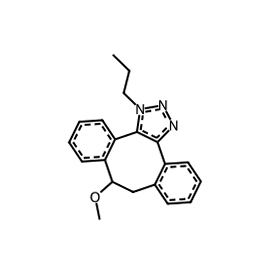 CCCn1nnc2c1-c1ccccc1C(OC)Cc1ccccc1-2